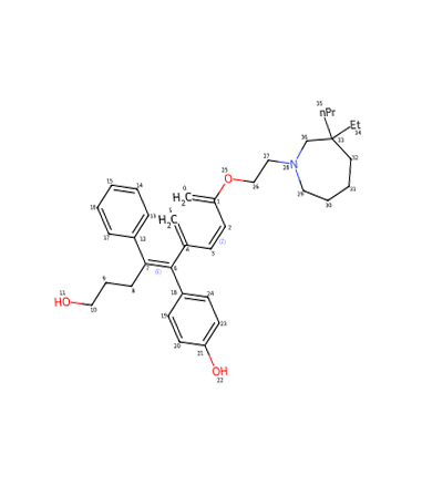 C=C(/C=C\C(=C)/C(=C(/CCCO)c1ccccc1)c1ccc(O)cc1)OCCN1CCCCC(CC)(CCC)C1